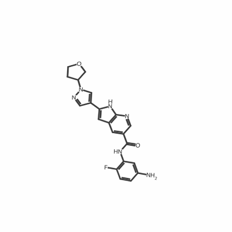 Nc1ccc(F)c(NC(=O)c2cnc3[nH]c(-c4cnn(C5CCOC5)c4)cc3c2)c1